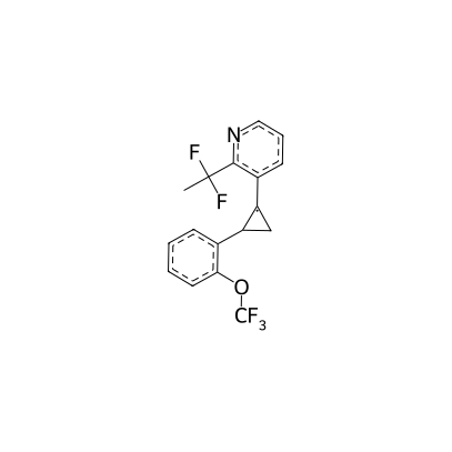 CC(F)(F)c1ncccc1[C]1CC1c1ccccc1OC(F)(F)F